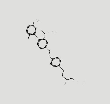 COc1ccc(F)c(-c2ccc(COc3ccc(CC[C@H](C)CC(=O)O)cc3)cc2[C@@H](OC)C(C)(C)C)c1